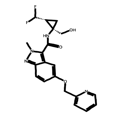 Cn1nc2ccc(OCc3ccccn3)cc2c1C(=O)N[C@]1(CO)C[C@H]1C(F)F